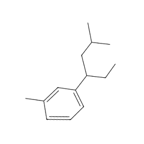 CCC(CC(C)C)c1cccc(C)c1